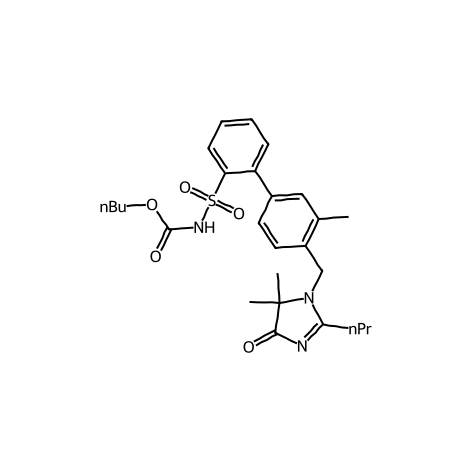 CCCCOC(=O)NS(=O)(=O)c1ccccc1-c1ccc(CN2C(CCC)=NC(=O)C2(C)C)c(C)c1